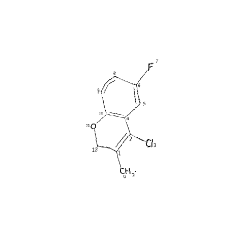 [CH2]C1=C(Cl)c2cc(F)ccc2OC1